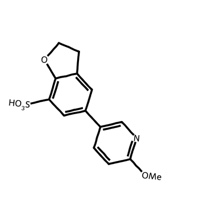 COc1ccc(-c2cc3c(c(S(=O)(=O)O)c2)OCC3)cn1